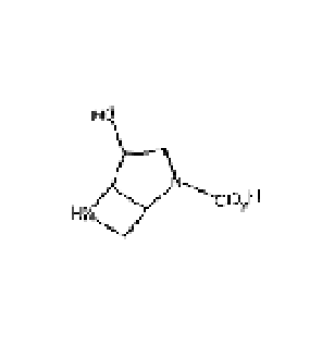 O=C(O)N1CC(O)C2NCC21